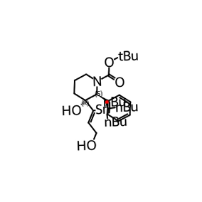 CCC[CH2][Sn]([CH2]CCC)([CH2]CCC)[C](=CCO)[C@@]1(O)CCCN(C(=O)OC(C)(C)C)[C@H]1c1ccccc1